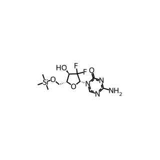 C[Si](C)(C)OC[C@H]1O[C@@H](n2cnc(N)nc2=O)C(F)(F)[C@@H]1O